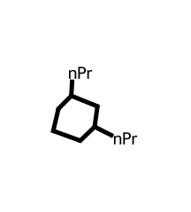 CCCC1CCCC(CCC)C1